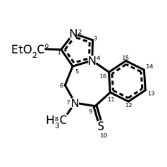 CCOC(=O)c1ncn2c1CN(C)C(=S)c1ccccc1-2